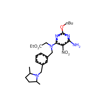 CCCCOc1nc(N)c([N+](=O)[O-])c(N(CC(=O)OCC)Cc2cccc(CN3C(C)CCC3C)c2)n1